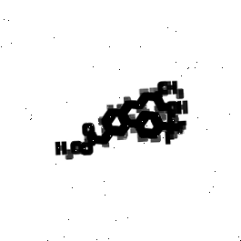 COC(=O)Cc1ccc(CCCC(C)CO)c(-c2ccc(C(F)(F)F)cc2)c1